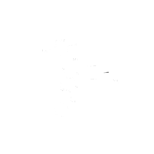 NC[C@H]1CC[C@H](n2c(Nc3cc(C(F)(F)F)ccc3F)nc3cnc(NC4CCOCC4)nc32)CC1